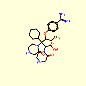 CCC(Oc1ccc(C(=N)N)cc1)C(C1CCCCC1)(C(C(=O)O)N1CCNCC1=O)N1CCNCC1=O